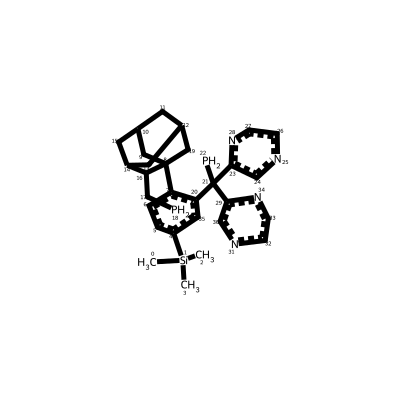 C[Si](C)(C)c1ccc(C23CC4CC(CC(C4)C2CP)C3)c(C(P)(c2cnccn2)c2cnccn2)c1